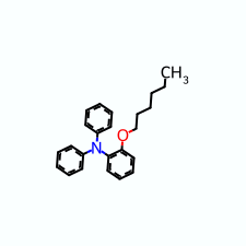 CCCCCCOc1ccccc1N(c1ccccc1)c1ccccc1